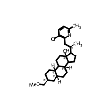 COC[C@H]1CC[C@@H]2C3CC[C@@]4(C)C(CCC4[C@H](C)Cc4nc(C)ccc4Cl)[C@@H]3CC[C@@H]2C1